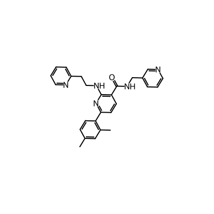 Cc1ccc(-c2ccc(C(=O)NCc3cccnc3)c(NCCc3ccccn3)n2)c(C)c1